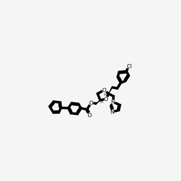 O=C(OC[C@H]1CO[C@](CCc2ccc(Cl)cc2)(Cn2ccnc2)O1)c1ccc(-c2ccccc2)cc1